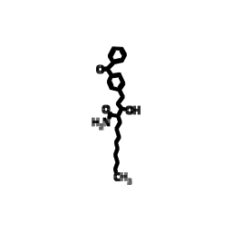 CCCCCCCCCC(C(N)=O)C(O)CCc1ccc(C(=O)c2ccccc2)cc1